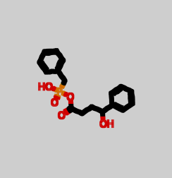 O=C(CCC(O)c1ccccc1)OP(=O)(O)Cc1ccccc1